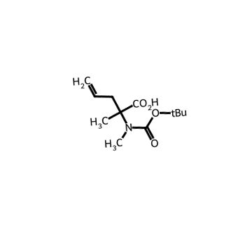 C=CCC(C)(C(=O)O)N(C)C(=O)OC(C)(C)C